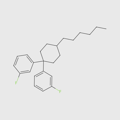 CCCCCCC1CCC(c2cccc(F)c2)(c2cccc(F)c2)CC1